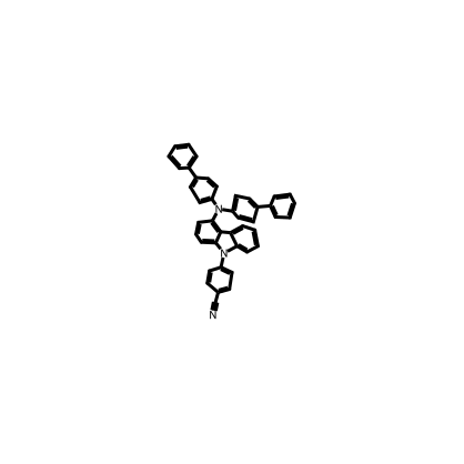 N#Cc1ccc(-n2c3ccccc3c3c(N(c4ccc(-c5ccccc5)cc4)c4ccc(-c5ccccc5)cc4)cccc32)cc1